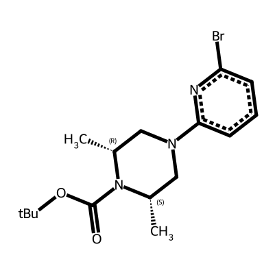 C[C@@H]1CN(c2cccc(Br)n2)C[C@H](C)N1C(=O)OC(C)(C)C